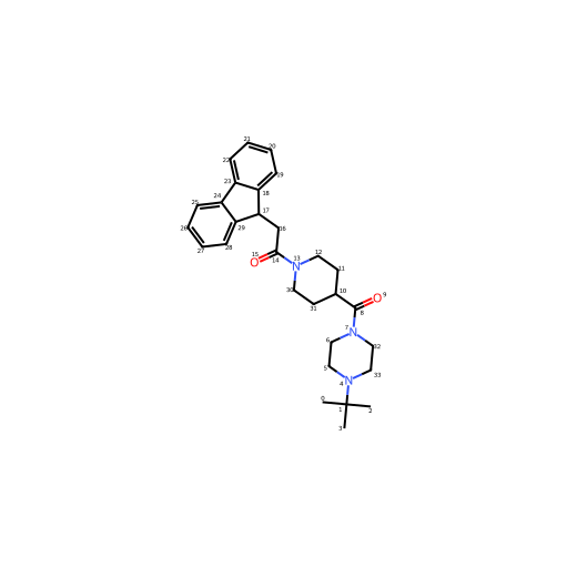 CC(C)(C)N1CCN(C(=O)C2CCN(C(=O)CC3c4ccccc4-c4ccccc43)CC2)CC1